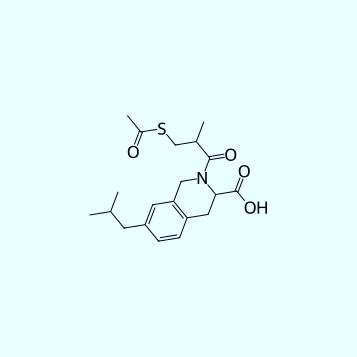 CC(=O)SCC(C)C(=O)N1Cc2cc(CC(C)C)ccc2CC1C(=O)O